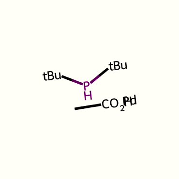 CC(=O)O.CC(C)(C)PC(C)(C)C.[Pd]